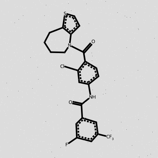 O=C(Nc1ccc(C(=O)N2CCCCc3sccc32)c(Cl)c1)c1cc(F)cc(C(F)(F)F)c1